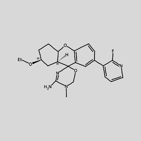 CCO[C@H]1CCC2Oc3ccc(-c4cccnc4F)cc3C3(N=C(N)N(C)CO3)[C@H]2C1